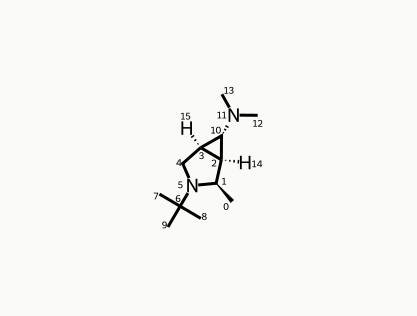 C[C@@H]1[C@H]2[C@@H](CN1C(C)(C)C)[C@@H]2N(C)C